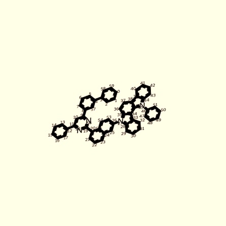 c1ccc(-c2cccc(-c3cc(-c4ccccc4)nc(-c4cccc5cc(-n6c7ccccc7c7c6ccc6c8ccccc8n(-c8ccccc8)c67)ccc45)n3)c2)cc1